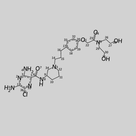 Nc1nc(N)c(C(=O)NC2CCCN(CCCc3ccc(OCC(=O)N(CCO)CCO)cc3)C2)nc1Cl